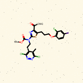 COC(=O)c1nc(N(CCc2c(Cl)nnc(Cl)c2C)C(=O)OC(C)(C)C)sc1CCCOc1ccc(I)cc1F